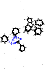 c1ccc(C2=N[NH+](c3ccccc3)N(c3ccccc3)N2)cc1.c1ccc([B-](c2ccccc2)(c2ccccc2)c2ccccc2)cc1